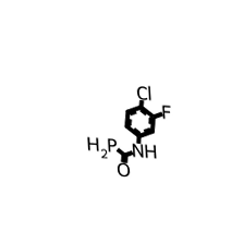 O=C(P)Nc1ccc(Cl)c(F)c1